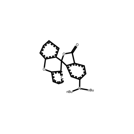 CCCCN(CCCC)c1ccc2c(c1)C1(OC2=O)c2ccccc2Oc2ccccc21